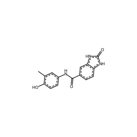 Cc1cc(NC(=O)c2ccc3[nH]c(=O)[nH]c3c2)ccc1O